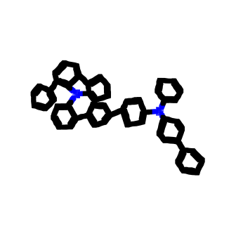 c1ccc(-c2ccc(N(c3ccccc3)c3ccc(-c4ccc(-c5ccccc5-n5c6ccccc6c6cccc(-c7ccccc7)c65)cc4)cc3)cc2)cc1